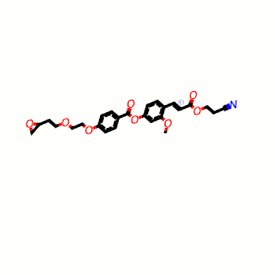 COc1cc(OC(=O)c2ccc(OCCOCCC3CO3)cc2)ccc1/C=C/C(=O)OCCC#N